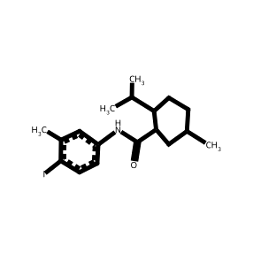 Cc1cc(NC(=O)C2CC(C)CCC2C(C)C)ccc1I